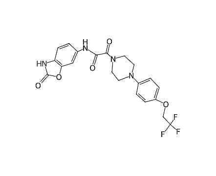 O=C(Nc1ccc2[nH]c(=O)oc2c1)C(=O)N1CCN(c2ccc(OCC(F)(F)F)cc2)CC1